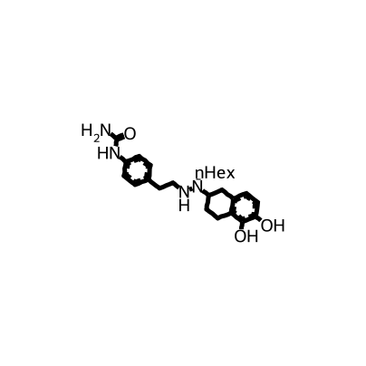 CCCCCCN(NCCc1ccc(NC(N)=O)cc1)C1CCc2c(ccc(O)c2O)C1